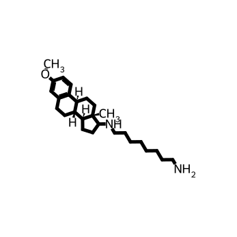 COc1ccc2c(c1)CC[C@@H]1[C@@H]2CC[C@]2(C)C(NCCCCCCCCN)CC[C@@H]12